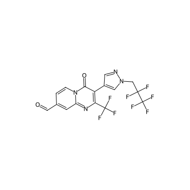 O=Cc1ccn2c(=O)c(-c3cnn(CC(F)(F)C(F)(F)F)c3)c(C(F)(F)F)nc2c1